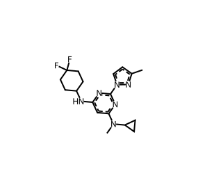 Cc1ccn(-c2nc(NC3CCC(F)(F)CC3)cc(N(C)C3CC3)n2)n1